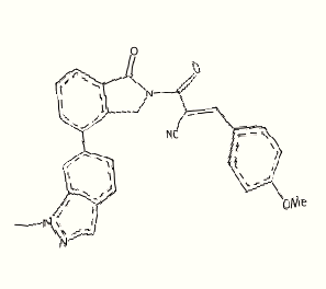 COc1ccc(/C=C(\C#N)C(=O)N2Cc3c(cccc3-c3ccc4cnn(C)c4c3)C2=O)cc1